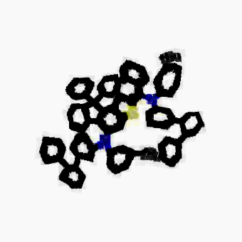 CC(C)(C)c1cccc(N(c2cccc(-c3ccccc3-c3ccccc3)c2)c2cc3sc4c(N(c5cccc(C6=CCCC=C6C6C=CC=CC6)c5)c5cccc(C(C)(C)C)c5)c5ccccc5cc4c3c3c2C2=C(CCC=C2)C3(C2=CC=CCC2)c2ccccc2)c1